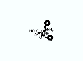 CC(C)[C@H](NC(=O)[C@H](Cc1ccccc1)NC(=O)[C@@H](N)Cc1ccccc1)C(=O)O